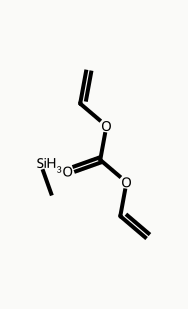 C=COC(=O)OC=C.C[SiH3]